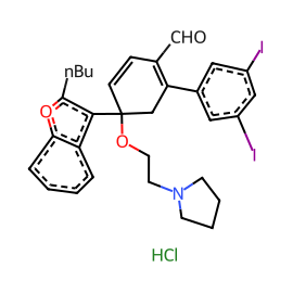 CCCCc1oc2ccccc2c1C1(OCCN2CCCC2)C=CC(C=O)=C(c2cc(I)cc(I)c2)C1.Cl